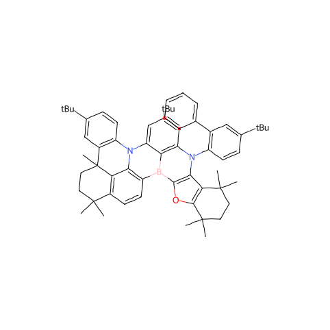 CC(C)(C)c1ccc(N2c3cc(C(C)(C)C)cc4c3B(c3ccc5c6c3N4c3ccc(C(C)(C)C)cc3C6(C)CCC5(C)C)c3oc4c(c32)C(C)(C)CCC4(C)C)c(-c2ccccc2)c1